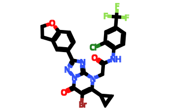 O=C(Cn1c(C2CC2)c(Br)c(=O)n2nc(-c3ccc4c(c3)CCO4)nc12)Nc1ccc(C(F)(F)F)cc1Cl